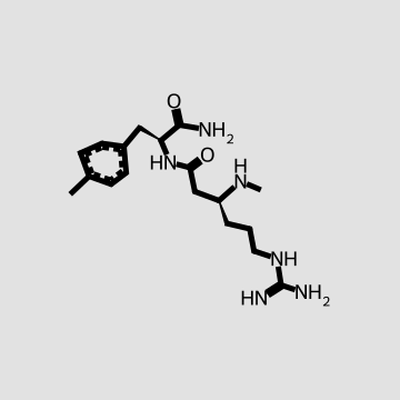 CN[C@@H](CCCNC(=N)N)CC(=O)N[C@@H](Cc1ccc(C)cc1)C(N)=O